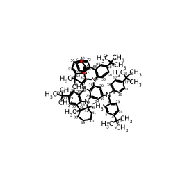 CC(C)(C)c1ccc(N(c2ccc(C(C)(C)C)cc2)c2cc3c4c(c2)N2c5c(cc(C(C)(C)C)cc5C5(C)CCCCC25C)B4C2=C(c4ccccc4C2(C)C)N3c2ccc(C(C)(C)C)cc2-c2ccccc2)cc1